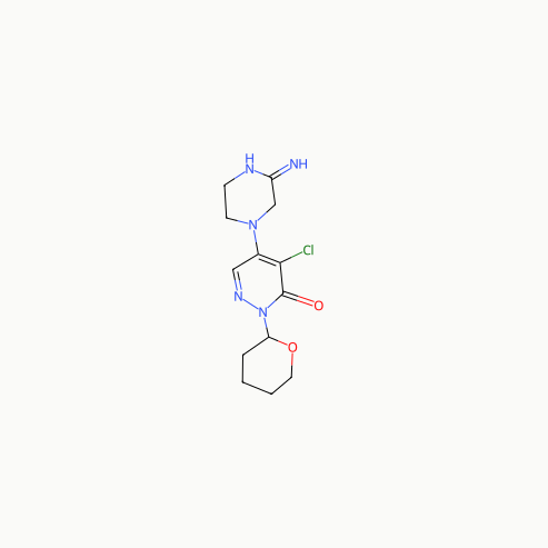 N=C1CN(c2cnn(C3CCCCO3)c(=O)c2Cl)CCN1